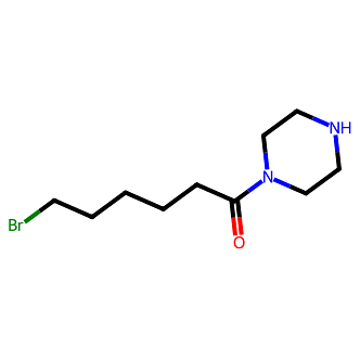 O=C(CCCCCBr)N1CCNCC1